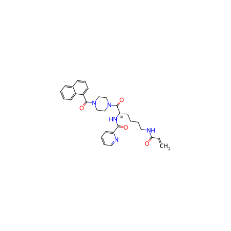 C=CC(=O)NCCCC[C@H](NC(=O)c1ccccn1)C(=O)N1CCN(C(=O)c2cccc3ccccc23)CC1